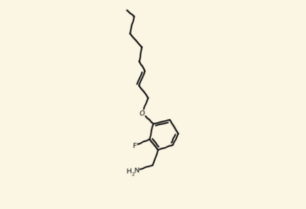 CCCCCC=CCOc1cccc(CN)c1F